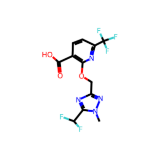 Cn1nc(COc2nc(C(F)(F)F)ccc2C(=O)O)nc1C(F)F